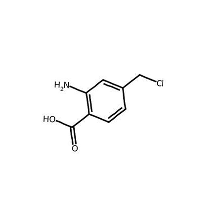 Nc1cc(CCl)ccc1C(=O)O